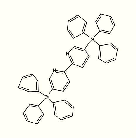 c1ccc([Si](c2ccccc2)(c2ccccc2)c2ccc(-c3ccc([Si](c4ccccc4)(c4ccccc4)c4ccccc4)cn3)nc2)cc1